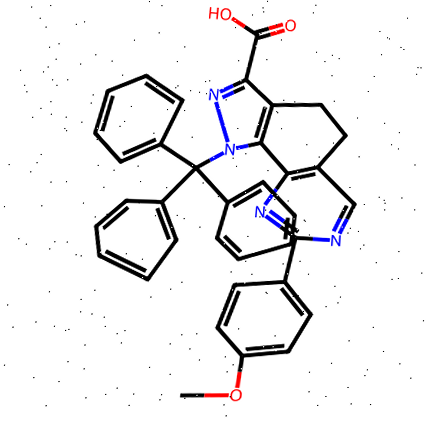 COc1ccc(-c2ncc3c(n2)-c2c(c(C(=O)O)nn2C(c2ccccc2)(c2ccccc2)c2ccccc2)CC3)cc1